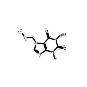 CCCCn1c(=O)c2c(ncn2COCC)n(C)c1=O